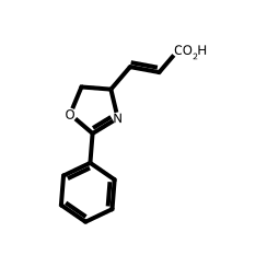 O=C(O)C=CC1COC(c2ccccc2)=N1